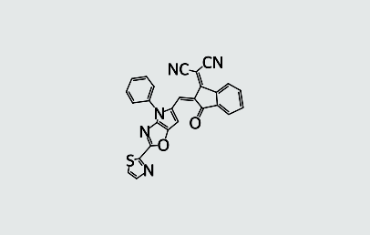 N#CC(C#N)=C1/C(=C/c2cc3oc(-c4nccs4)nc3n2-c2ccccc2)C(=O)c2ccccc21